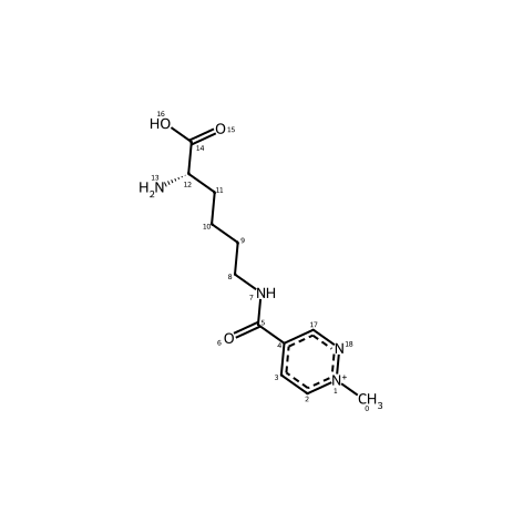 C[n+]1ccc(C(=O)NCCCC[C@H](N)C(=O)O)cn1